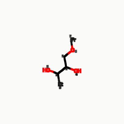 CCC(O)C(O)COC(C)C